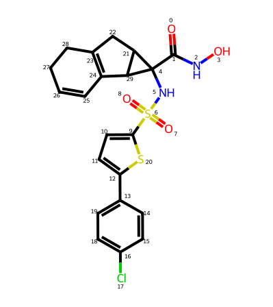 O=C(NO)C1(NS(=O)(=O)c2ccc(-c3ccc(Cl)cc3)s2)C2CC3=C(C=CCC3)C21